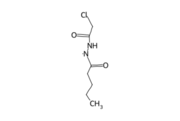 CCCCC(=O)[N]NC(=O)CCl